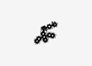 c1ccc(-c2ccc(-c3ccnc(-c4ccc5c(-c6ccc7ccccc7c6)c6ccccc6c(-c6ccc7ccccc7c6)c5c4)n3)cc2)nc1